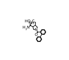 N=C(N)C1CN(C(=O)c2ccccc2-c2ccccc2)CC1CC(=O)O